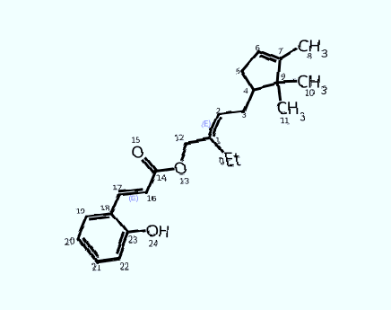 CC/C(=C\CC1CC=C(C)C1(C)C)COC(=O)/C=C/c1ccccc1O